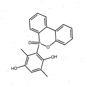 Cc1cc(O)c(C)c(P2(=O)Oc3ccccc3-c3ccccc32)c1O